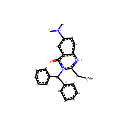 COCc1nc2ccc(N(C)C)cc2c(=O)n1C(c1ccccc1)c1ccccc1